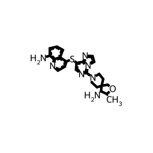 C[C@@H]1OCC2(CCN(c3ncc(Sc4ccnc5c(N)cccc45)c4nccn34)CC2)[C@@H]1N